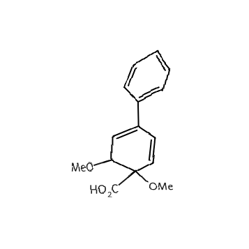 COC1C=C(c2ccccc2)C=CC1(OC)C(=O)O